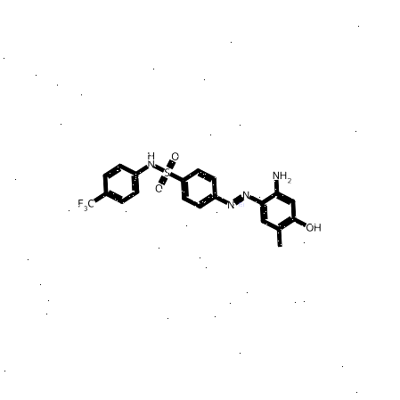 Cc1cc(/N=N/c2ccc(S(=O)(=O)Nc3ccc(C(F)(F)F)cc3)cc2)c(N)cc1O